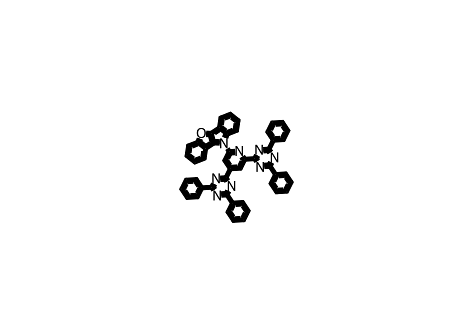 c1ccc(-c2nc(-c3ccccc3)nc(-c3cc(-c4nc(-c5ccccc5)nc(-c5ccccc5)n4)nc(-n4c5ccccc5c5oc6ccccc6c54)c3)n2)cc1